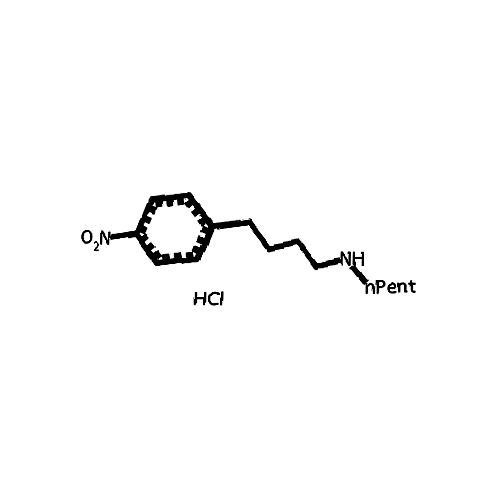 CCCCCNCCCCc1ccc([N+](=O)[O-])cc1.Cl